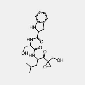 CC(C)CC(NC(=O)[C@H](CO)NC(=O)C1Cc2ccccc2N1)C(=O)C1(CO)CO1